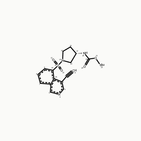 C#Cc1cncc2cccc(S(=O)(=O)N3CC[C@H](NC(=O)OC(C)(C)C)C3)c12